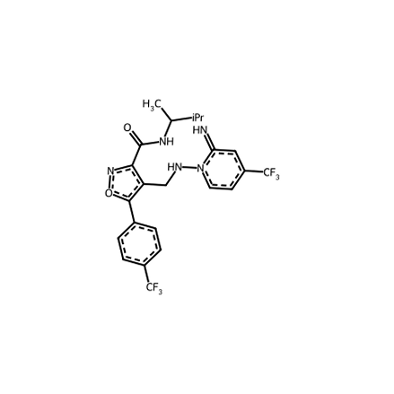 CC(C)C(C)NC(=O)c1noc(-c2ccc(C(F)(F)F)cc2)c1CNn1ccc(C(F)(F)F)cc1=N